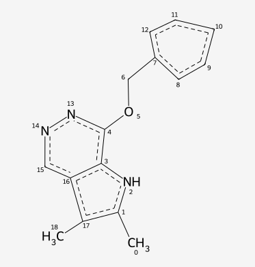 Cc1[nH]c2c(OCc3ccccc3)nncc2c1C